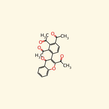 CC(=O)c1ccc(-c2c(C(C)=O)oc3ccccc3c2=O)c(C(C)=O)c1C(C)=O